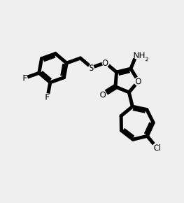 NC1=C(OSCc2ccc(F)c(F)c2)C(=O)C(C2=CC=C(Cl)C=CC2)O1